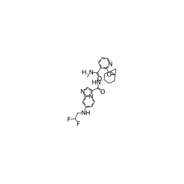 NC(=O)c1cccnc1O[C@@]12CC[C@H](NC(=O)c3cnc4cc(NCC(F)F)ccn34)CC1C2